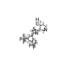 Cc1ccncc1-c1nc(-c2cc(C(F)(F)F)cc(C(F)(F)F)c2)cs1